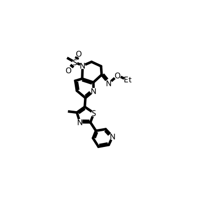 CCO/N=C1\CCN(S(C)(=O)=O)c2ccc(-c3sc(-c4cccnc4)nc3C)nc21